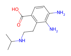 CC(C)NCCc1c(C(=O)O)ccc(N)c1N